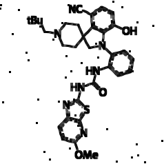 COc1ccc2nc(NC(=O)Nc3ccccc3N3CC4(CCN(CC(C)(C)C)CC4)c4c(C#N)ccc(O)c43)sc2n1